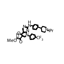 CONC(=O)c1cn(-c2ccc(C(F)(F)F)cc2)c2nc(Nc3ccc(C4CCN(C(C)C)CC4)cc3)ncc2c1=O